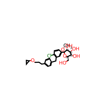 COC1(c2ccc(Cl)c(Cc3ccc(CCCOC4CC4)cc3)c2)O[C@H](CO)[C@@H](O)[C@H](O)[C@H]1O